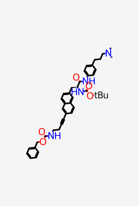 CN(C)CCCc1ccc(NC(=O)[C@H](Cc2ccc3cc(C#CCCNC(=O)OCc4ccccc4)ccc3c2)NC(=O)OC(C)(C)C)cc1